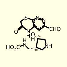 O=C(O)NC[C@H]1CNC[C@H]1O.O=Cc1cc2c(nn1)SCC(=O)N2